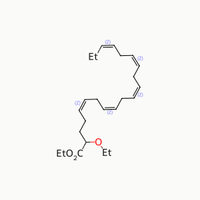 CC/C=C\C/C=C\C/C=C\C/C=C\C/C=C\CCC(OCC)C(=O)OCC